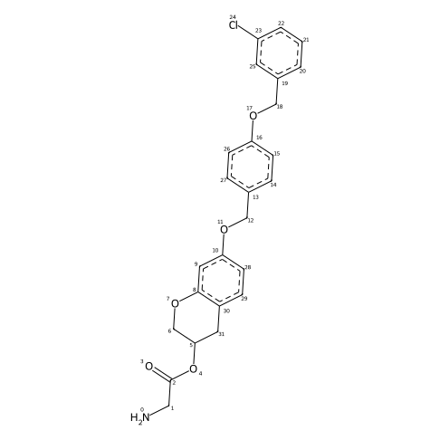 NCC(=O)OC1COc2cc(OCc3ccc(OCc4cccc(Cl)c4)cc3)ccc2C1